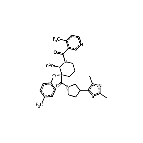 CCC[C@H]1N(C(=O)c2cnccc2C(F)(F)F)CCC[C@@]1(Oc1ccc(C(F)(F)F)cc1)C(=O)N1CCC(c2sc(C)nc2C)C1